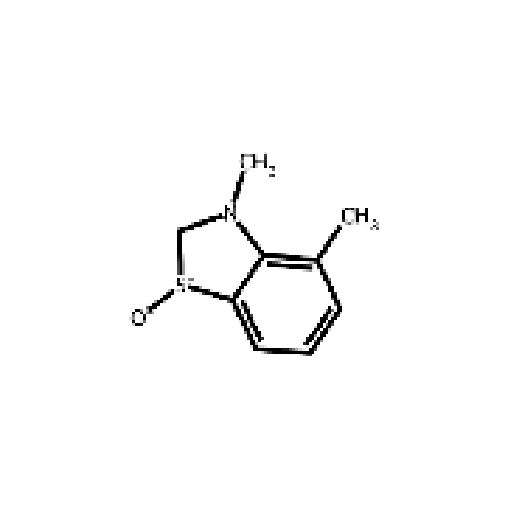 Cc1cccc2c1N(C)C[S+]2[O-]